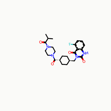 CC(C)C(=O)N1CCN(C(=O)[C@H]2CC[C@H](Cn3c(=O)[nH]c4cccc(F)c4c3=O)CC2)CC1